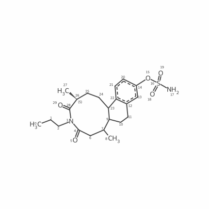 CCCN1C(=O)CC(C)C2CCc3cc(OS(N)(=O)=O)ccc3C2CC[C@H](C)C1=O